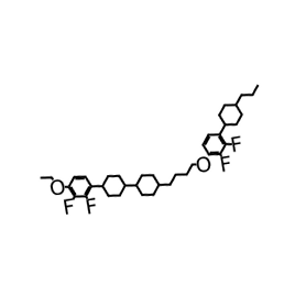 CCCC1CCC(c2ccc(OCCCCC3CCC(C4CCC(c5ccc(OCC)c(F)c5F)CC4)CC3)c(F)c2F)CC1